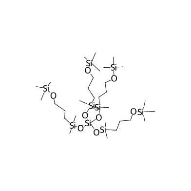 C[Si](C)(C)OCCC[Si](C)(C)O[Si](O[Si](C)(C)CCCO[Si](C)(C)C)(O[Si](C)(C)CCCO[Si](C)(C)C)O[Si](C)(C)CCCO[Si](C)(C)C